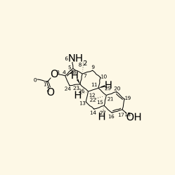 CC(=O)OC1=C(N)[C@@]2(C)CC[C@H]3[C@@H](CC[C@@H]4C=C(O)C=C[C@@]43C)[C@@H]2C1